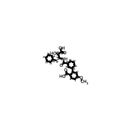 COc1ccc(C(=O)O)c(-c2cccc(C(=O)N[C@H](Cc3ccccc3)[C@@H](O)C(=O)O)c2)c1